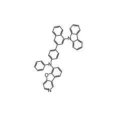 c1ccc(N(c2ccc(-c3cc(-n4c5ccccc5c5ccccc54)c4ccccc4c3)cc2)c2cccc3c2oc2ccncc23)cc1